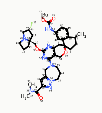 CC1CCC2(Cc3nc(OC[C@@]45CCCN4C[C@H](F)C5)nc(N4CCCn5nc(C(=O)N(C)C)cc5C4)c3CO2)c2cc(NC(=O)OC(C)(C)C)ccc21